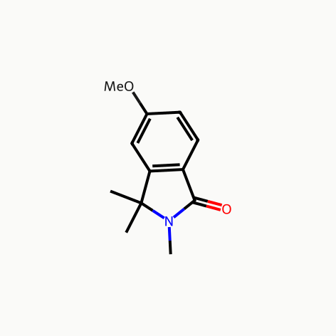 COc1ccc2c(c1)C(C)(C)N(C)C2=O